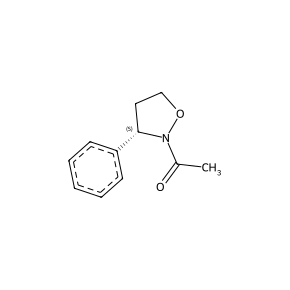 CC(=O)N1OCC[C@H]1c1ccccc1